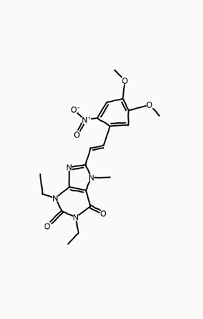 CCn1c(=O)c2c(nc(C=Cc3cc(OC)c(OC)cc3[N+](=O)[O-])n2C)n(CC)c1=O